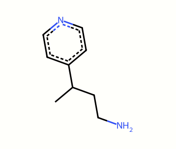 CC(CCN)c1ccncc1